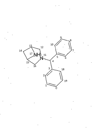 c1ccc(C(c2ccccc2)N2CC3CC(C2)N3)cc1